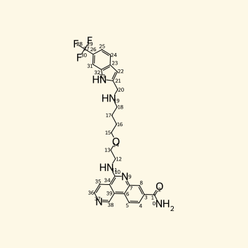 NC(=O)c1ccc2c(c1)nc(NCCOCCCCNCc1cc3ccc(C(F)(F)F)cc3[nH]1)c1ccncc12